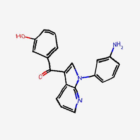 Nc1cccc(-n2cc(C(=O)c3cccc(O)c3)c3cccnc32)c1